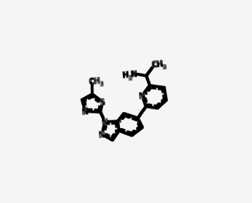 Cc1cnc(-n2ncc3ccc(-c4cccc(C(C)N)n4)cc32)s1